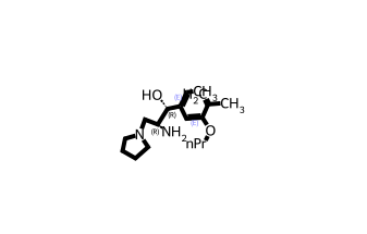 C=C(C)/C(=C\C(=C/C)[C@@H](O)[C@H](N)CN1CCCC1)OCCC